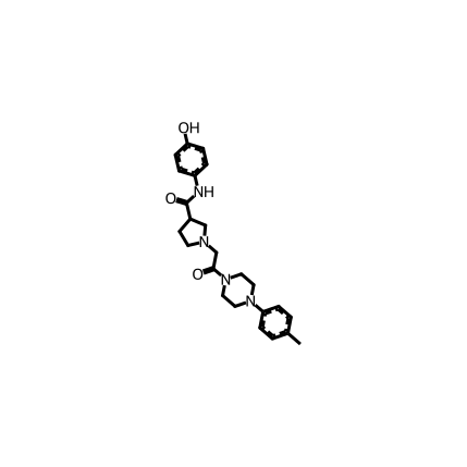 Cc1ccc(N2CCN(C(=O)CN3CCC(C(=O)Nc4ccc(O)cc4)C3)CC2)cc1